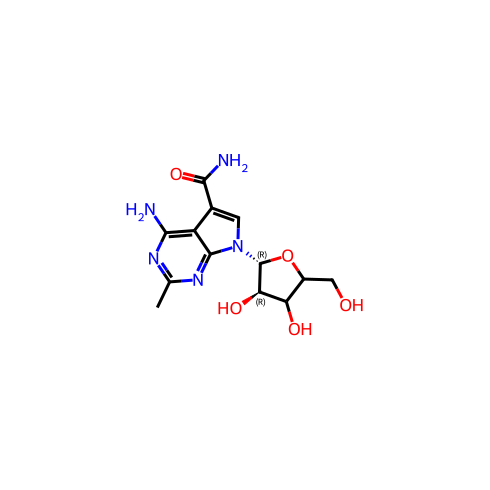 Cc1nc(N)c2c(C(N)=O)cn([C@@H]3OC(CO)C(O)[C@H]3O)c2n1